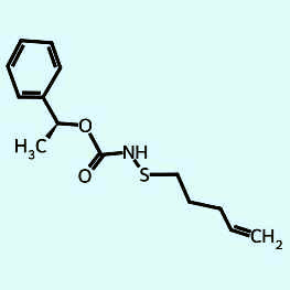 C=CCCCSNC(=O)O[C@@H](C)c1ccccc1